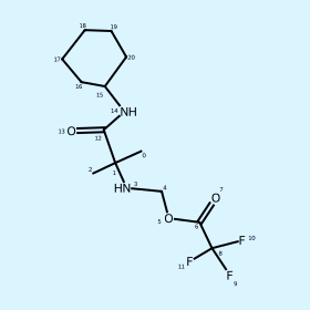 CC(C)(NCOC(=O)C(F)(F)F)C(=O)NC1CCCCC1